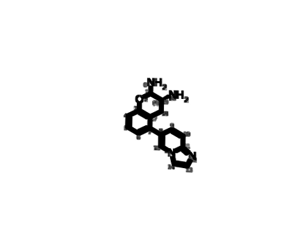 NC1Oc2cccc(-c3ccc4nccn4c3)c2C[C@@H]1N